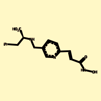 CC(C)C[C@H](NCc1ccc(/C=C/C(=O)NO)nc1)C(=O)O